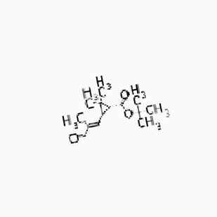 C/C(C=O)=C\[C@@H]1[C@@H](C(=O)OC(C)(C)C)C1(C)C